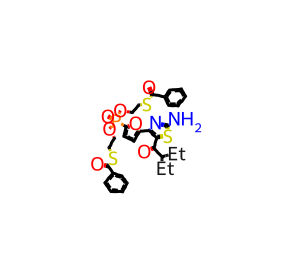 CCC(CC)C(=O)c1sc(N)nc1-c1ccc(P(=O)(OCCSC(=O)c2ccccc2)OCCSC(=O)c2ccccc2)o1